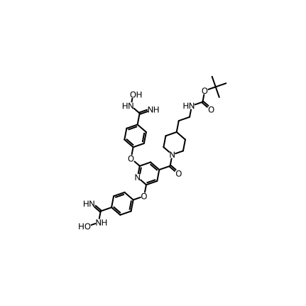 CC(C)(C)OC(=O)NCCC1CCN(C(=O)c2cc(Oc3ccc(C(=N)NO)cc3)nc(Oc3ccc(C(=N)NO)cc3)c2)CC1